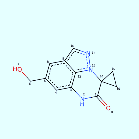 O=C1Nc2cc(CO)cc3cnn(c23)C12CC2